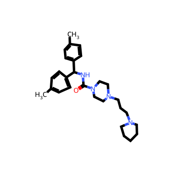 Cc1ccc(C(NC(=O)N2CCN(CCCN3CCCCC3)CC2)c2ccc(C)cc2)cc1